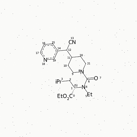 CCOC(=O)[C@H](CC(C)C)N(CC)C(=O)N1CCC(C(C#N)c2cccnc2)CC1